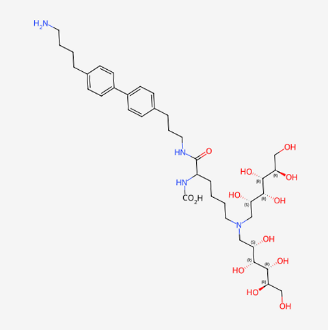 NCCCCc1ccc(-c2ccc(CCCNC(=O)C(CCCCN(C[C@H](O)[C@@H](O)[C@H](O)[C@H](O)CO)C[C@H](O)[C@@H](O)[C@H](O)[C@H](O)CO)NC(=O)O)cc2)cc1